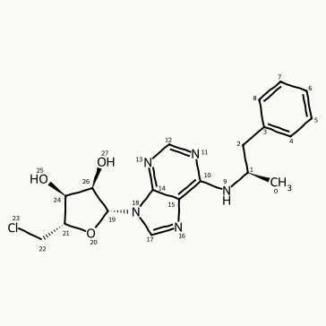 C[C@H](Cc1ccccc1)Nc1ncnc2c1ncn2[C@@H]1O[C@H](CCl)[C@@H](O)[C@H]1O